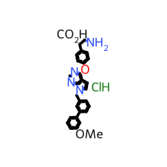 COc1cccc(-c2cccc(Cn3ccc4c(Oc5ccc(C[C@H](N)C(=O)O)cc5)ncnc43)c2)c1.Cl